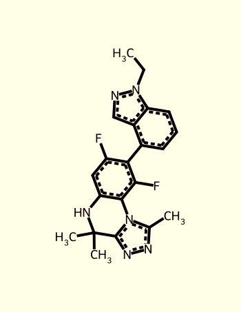 CCn1ncc2c(-c3c(F)cc4c(c3F)-n3c(C)nnc3C(C)(C)N4)cccc21